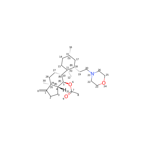 C=C1CC[C@H]2[C@H](OC(C)=O)[C@@H]([C@@]3(C)CC[C@H](C)C[C@@H]3CCN3CCOCC3)CC[C@]12C